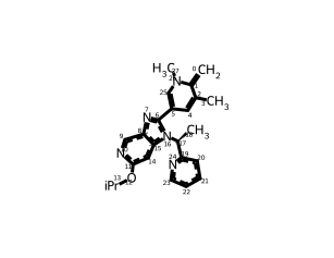 C=C1C(C)=CC(c2nc3cnc(OC(C)C)cc3n2[C@@H](C)c2ccccn2)=CN1C